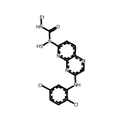 CCNC(=O)N(S)c1ccc2ncc(Nc3cc(Cl)ccc3Cl)nc2n1